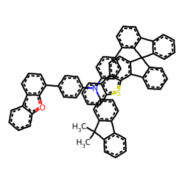 CC1(C)c2ccccc2-c2ccc(N(c3ccc(-c4cccc5c4C4(c6ccccc6-5)c5ccccc5-c5c4ccc4c5sc5ccccc54)cc3)c3ccc(-c4cccc5c4oc4ccccc45)cc3)cc21